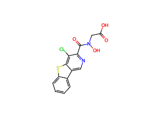 O=C(O)CN(O)C(=O)c1ncc2c(sc3ccccc32)c1Cl